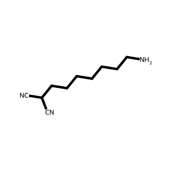 N#CC(C#N)CCCCCCCN